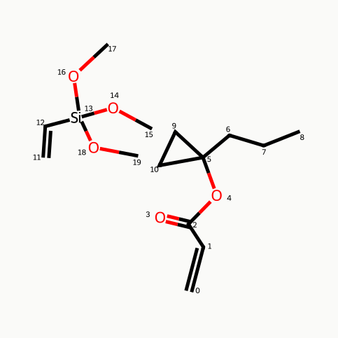 C=CC(=O)OC1(CCC)CC1.C=C[Si](OC)(OC)OC